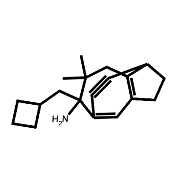 CC1(C)CC2=C3C=C(C#CC2CC3)C1(N)CC1CCC1